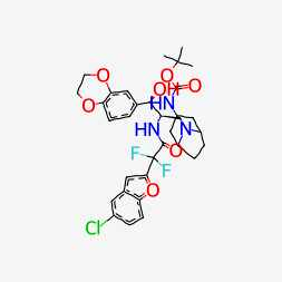 CC(C)(C)OC(=O)NC1CC2CCC(C1)N2C[C@@H](NC(=O)C(F)(F)c1cc2cc(Cl)ccc2o1)[C@H](O)c1ccc2c(c1)OCCO2